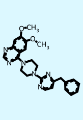 COc1cc2ncnc(N3CCN(c4nccc(Cc5ccccc5)n4)CC3)c2cc1OC